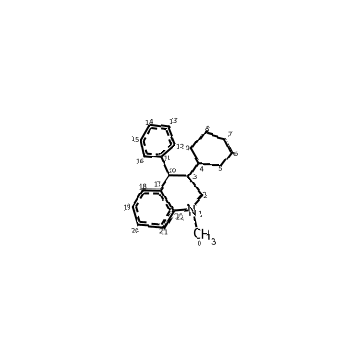 CN1CC(C2CCCCC2)C(c2ccccc2)c2ccccc21